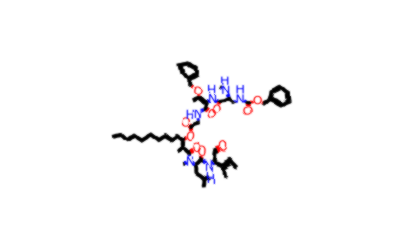 C/C=C(\C)C(C=O)NC(=O)C(CC(C)C)N(C)C(=O)/C(C)=C(/CCCCCCCCCC)OC(=O)CNC(=O)/C(NC(=O)C(CNC(=O)OCc1ccccc1)NC)=C(\C)OCc1ccccc1